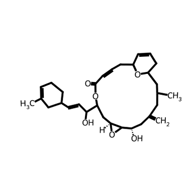 C=C1CC(C)CC2CC=CC(C/C=C\C(=O)OC(C(O)/C=C/C3CCC=C(C)C3)C[C@@H]3OC3[C@@H](O)C1)O2